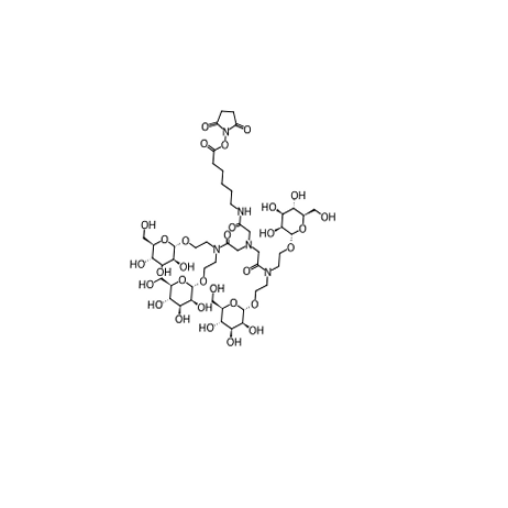 O=C(CN(CC(=O)N(CCO[C@H]1O[C@H](CO)[C@@H](O)[C@H](O)[C@@H]1O)CCO[C@H]1O[C@H](CO)[C@@H](O)[C@H](O)[C@@H]1O)CC(=O)N(CCO[C@H]1O[C@H](CO)[C@@H](O)[C@H](O)[C@@H]1O)CCO[C@H]1O[C@H](CO)[C@@H](O)[C@H](O)[C@@H]1O)NCCCCCC(=O)ON1C(=O)CCC1=O